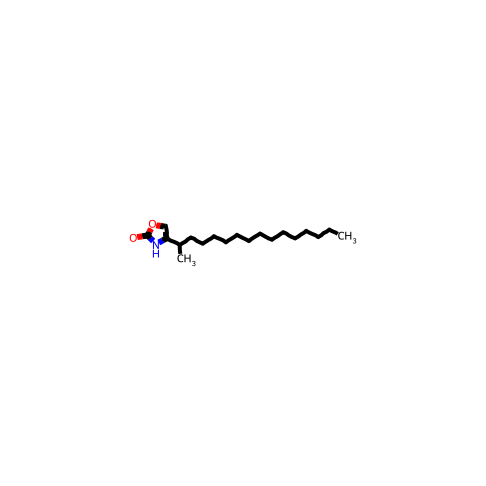 CCCCCCCCCCCCCCC(C)c1coc(=O)[nH]1